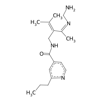 CCCc1cc(C(=O)NCC(=C(C)C)/C(C)=N\CN)ccn1